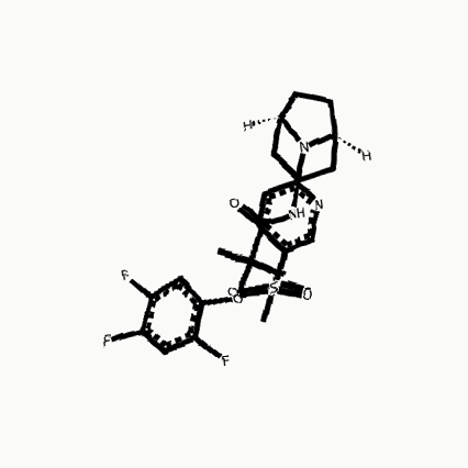 CC(C)(Oc1cc(F)c(F)cc1F)C(=O)N[C@H]1C[C@H]2CC[C@@H](C1)N2c1ccc(S(C)(=O)=O)cn1